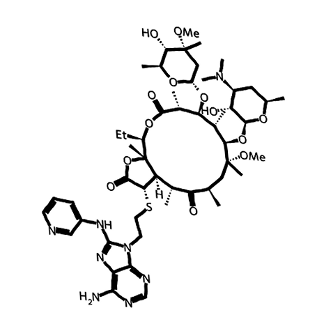 CC[C@H]1OC(=O)[C@H](C)[C@@H](O[C@H]2C[C@@](C)(OC)[C@@H](O)[C@H](C)O2)[C@H](C)[C@@H](O[C@@H]2O[C@H](C)C[C@H](N(C)C)[C@H]2O)[C@](C)(OC)C[C@@H](C)C(=O)[C@H](C)[C@H]2[C@H](SCCn3c(Nc4cccnc4)nc4c(N)ncnc43)C(=O)O[C@@]21C